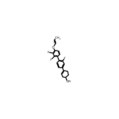 C/C=C/Oc1ccc(-c2ccc(C3=CCC(CCC)CC3)cc2F)c(F)c1F